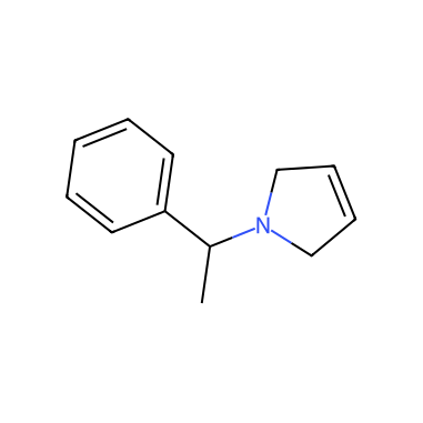 CC(c1ccccc1)N1CC=CC1